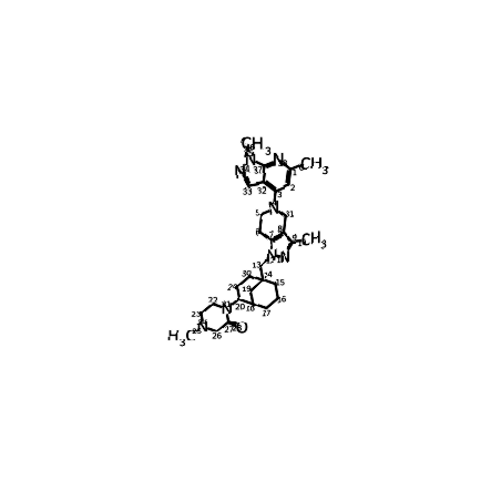 Cc1cc(N2CCc3c(c(C)nn3CC34CCCC(C3)C(N3CCN(C)CC3=O)CC4)C2)c2cnn(C)c2n1